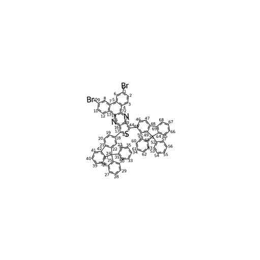 Brc1ccc2c(c1)c1cc(Br)ccc1c1nc3c(-c4ccc5c(c4)C(c4ccccc4)(c4ccccc4)c4ccccc4-5)sc(-c4ccc5c(c4)C(c4ccccc4)(c4ccccc4)c4ccccc4-5)c3nc21